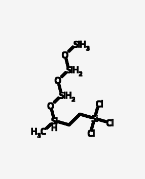 C[SiH](CC[Si](Cl)(Cl)Cl)O[SiH2]O[SiH2]O[SiH3]